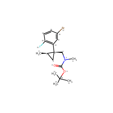 C[C@@H]1C[C@@]1(CN(C)C(=O)OC(C)(C)C)c1cc(Br)ccc1F